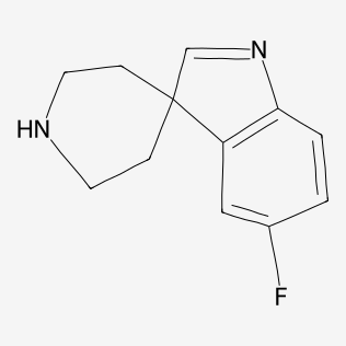 Fc1ccc2c(c1)C1(C=N2)CCNCC1